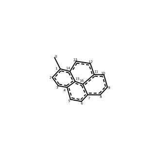 Cc1ccc2ccc3cccc4c[c]c1c2c43